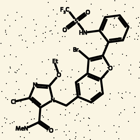 CCOc1nc(Cl)c(C(=O)NC)n1Cc1ccc2oc(-c3ccccc3NS(=O)(=O)C(F)(F)F)c(Br)c2c1